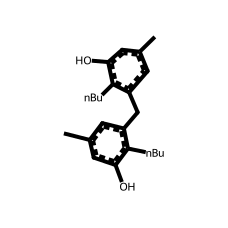 CCCCc1c(O)cc(C)cc1Cc1cc(C)cc(O)c1CCCC